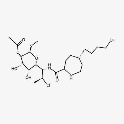 CS[C@H]1O[C@H]([C@H](NC(=O)C2CC[C@H](CCCCO)CCN2)[C@H](C)Cl)[C@H](O)[C@H](O)[C@H]1OC(C)=O